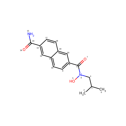 CC(C)CN(O)C(=O)c1ccc2cc(C(N)=O)ccc2c1